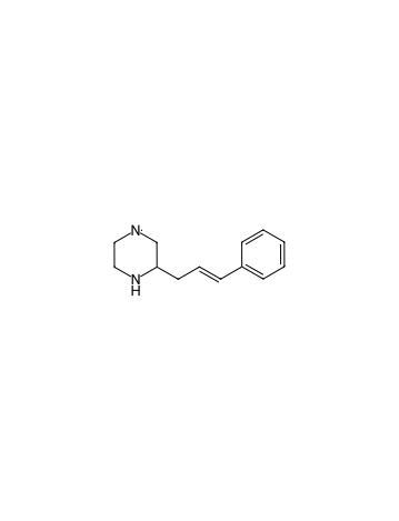 C(=Cc1ccccc1)CC1C[N]CCN1